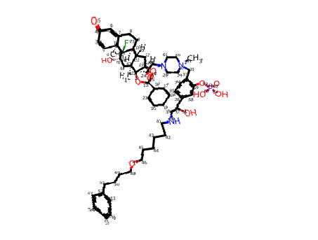 C[C@]12C=CC(=O)C=C1CC[C@H]1[C@@H]3C[C@H]4O[C@@H](C5CCCCC5)O[C@@]4(C(=O)CN4CC[N+](C)(Cc5ccc(C(O)CNCCCCCCOCCCCc6ccccc6)cc5OP(=O)(O)O)CC4)[C@@]3(C)C[C@H](O)[C@@]12F